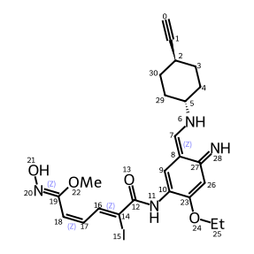 C#C[C@H]1CC[C@H](N/C=C2/C=C(NC(=O)/C(I)=C/C=C\C(=N\O)OC)C(OCC)=CC2=N)CC1